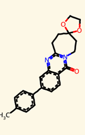 Cc1ccc(-c2ccc3c(=O)n4c(nc3c2)CCC2(CC4)OCCO2)cc1